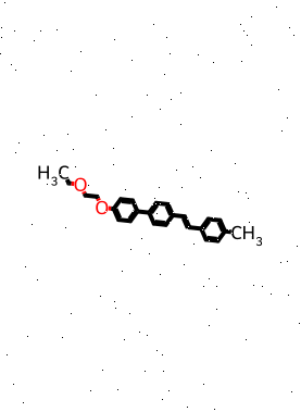 CCOCCOc1ccc(-c2ccc(C=Cc3ccc(C)cc3)cc2)cc1